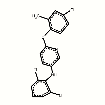 Cc1cc(Cl)ccc1Oc1ccc(Nc2c(Cl)cccc2Cl)cn1